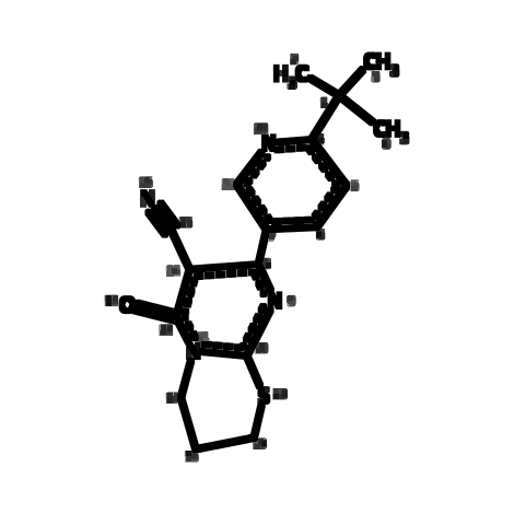 CC(C)(C)c1ccc(-c2nc3n(c(=O)c2C#N)CCCS3)cn1